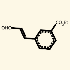 CCOC(=O)c1cccc(C=CC=O)c1